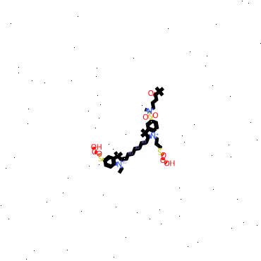 CCN1/C(=C/C=C/C=C/C=C/C2=[N+](CCCSOOO)c3ccc(S(=O)(=O)N(C)CCCC(=O)C(C)(C)C)cc3C2(C)C)C(C)(C)c2cc(SOOO)ccc21